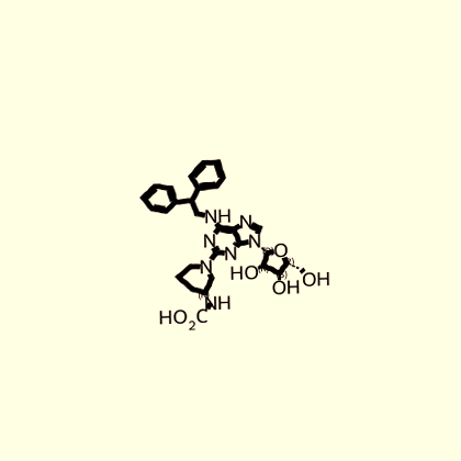 O=C(O)N[C@@H]1CCCN(c2nc(NCC(c3ccccc3)c3ccccc3)c3ncn([C@@H]4O[C@H](CO)[C@@H](O)[C@H]4O)c3n2)C1